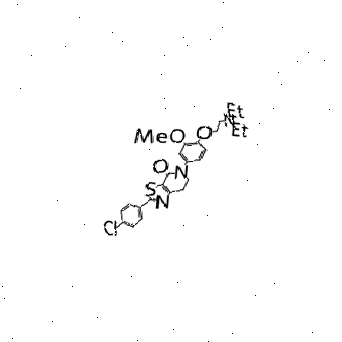 CCN(CC)CCOc1ccc(N2CCc3nc(-c4ccc(Cl)cc4)sc3C2=O)cc1OC